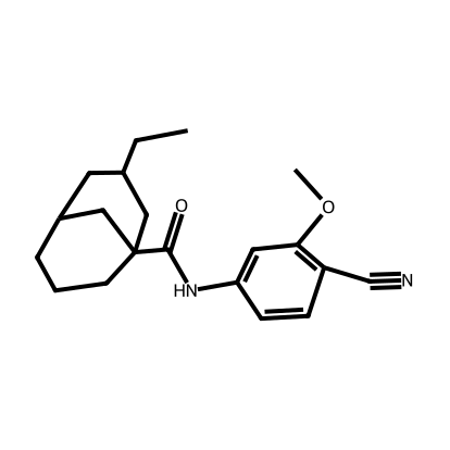 CCC1CC2CCCC(C(=O)Nc3ccc(C#N)c(OC)c3)(C1)C2